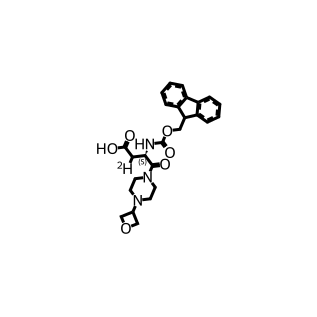 [2H]C(C(=O)O)[C@H](NC(=O)OCC1c2ccccc2-c2ccccc21)C(=O)N1CCN(C2COC2)CC1